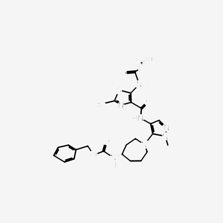 Cn1ncc(NC(=O)c2nc(Br)sc2NC(=O)OC(C)(C)C)c1N1CCC[C@H](NC(=O)OCc2ccccc2)CC1